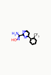 N/C(=N\O)c1nccc(-c2ccccc2C(F)(F)F)n1